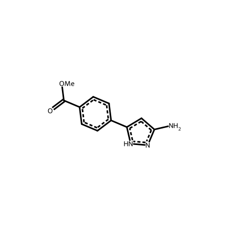 COC(=O)c1ccc(-c2cc(N)n[nH]2)cc1